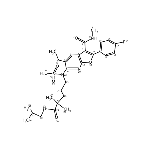 CCc1cc2c(C(=O)NC)c(-c3ccc(F)cc3)oc2nc1N(CCCC(C)(C)C(=O)OCC(C)C)S(C)(=O)=O